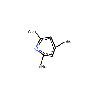 [CH2]CCCc1cc(CCCCCCCCC)nc(CCCCCCCCC)c1